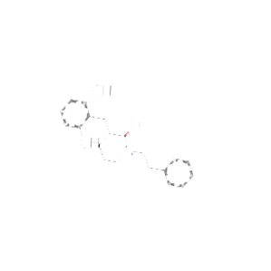 Cc1cccc(C)c1CC1CCCN(CCc2ccccc2)C1=O